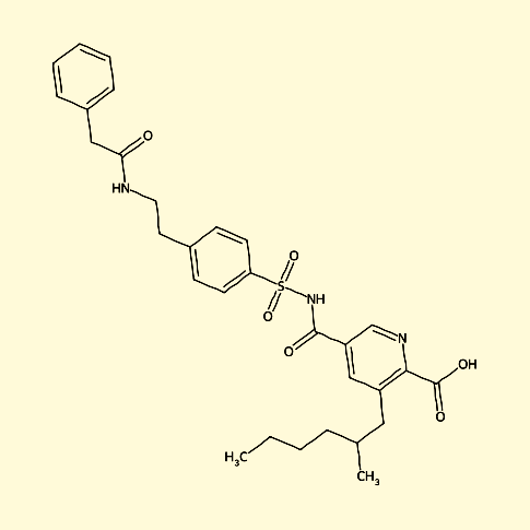 CCCCC(C)Cc1cc(C(=O)NS(=O)(=O)c2ccc(CCNC(=O)Cc3ccccc3)cc2)cnc1C(=O)O